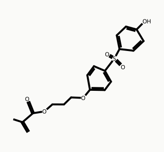 C=C(C)C(=O)OCCCOc1ccc(S(=O)(=O)c2ccc(O)cc2)cc1